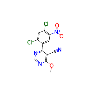 COc1ncnc(-c2cc([N+](=O)[O-])c(Cl)cc2Cl)c1C#N